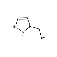 CC(C)CN1C=CNN1